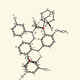 COc1ccc([C@H](Cc2c(Cl)c[n+]([O-])cc2Cl)c2c(CN(C(=O)O[C@H]3CN4CCC3CC4)c3cccc(Cl)c3)cccc2C(=O)O)cc1OC